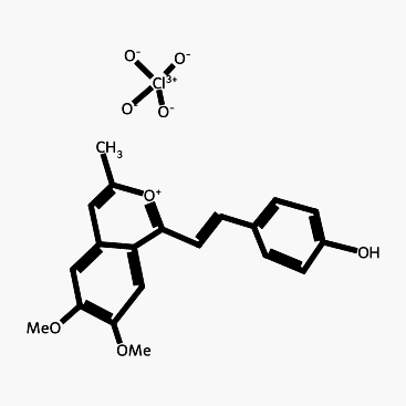 COc1cc2cc(C)[o+]c(C=Cc3ccc(O)cc3)c2cc1OC.[O-][Cl+3]([O-])([O-])[O-]